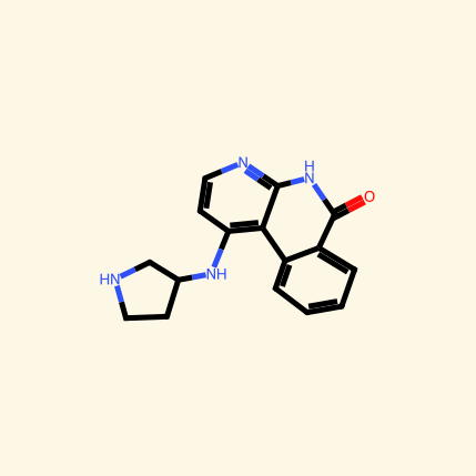 O=c1[nH]c2nccc(NC3CCNC3)c2c2ccccc12